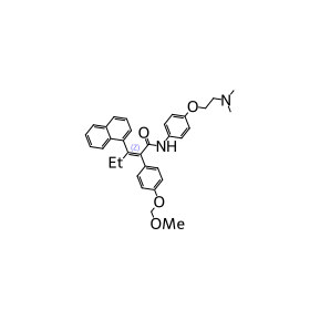 CC/C(=C(/C(=O)Nc1ccc(OCCN(C)C)cc1)c1ccc(OCOC)cc1)c1cccc2ccccc12